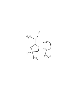 CC1(C)OCC(C(N)CO)O1.O=C(O)c1ccccc1